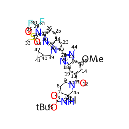 [2H][C@]1(NC(=O)OC(C)(C)C)CCCN(C(=O)c2cc(OC)c3c(c2)nc(-c2cc4ccc(N(C(F)F)S(C)(=O)=O)nc4n2CC2CC2)n3C)C1